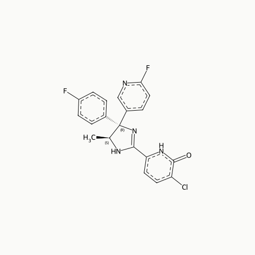 C[C@@H]1NC(c2ccc(Cl)c(=O)[nH]2)=N[C@]1(c1ccc(F)cc1)c1ccc(F)nc1